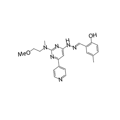 COCCN(C)c1nc(NN=Cc2cc(C)ccc2O)cc(-c2ccncc2)n1